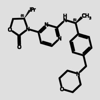 CC(C)[C@H]1COC(=O)N1c1ccnc(N[C@@H](C)c2ccc(CN3CCOCC3)cc2)n1